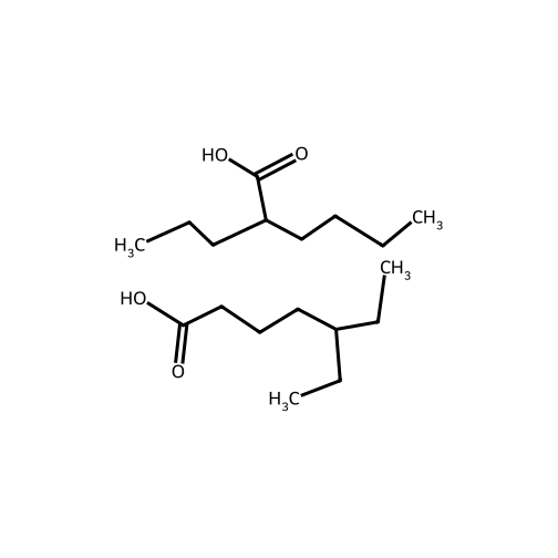 CCC(CC)CCCC(=O)O.CCCCC(CCC)C(=O)O